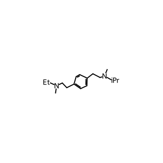 CCN(C)CCc1ccc(CCN(C)C(C)C)cc1